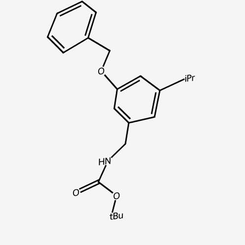 CC(C)c1cc(CNC(=O)OC(C)(C)C)cc(OCc2ccccc2)c1